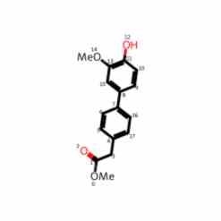 COC(=O)Cc1ccc(-c2ccc(O)c(OC)c2)cc1